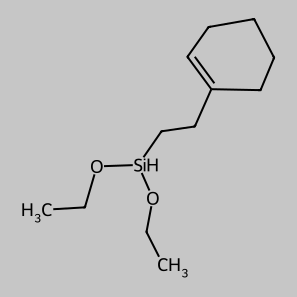 CCO[SiH](CCC1=CCCCC1)OCC